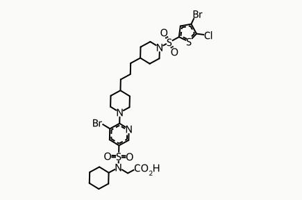 O=C(O)CN(C1CCCCC1)S(=O)(=O)c1cnc(N2CCC(CCCC3CCN(S(=O)(=O)c4cc(Br)c(Cl)s4)CC3)CC2)c(Br)c1